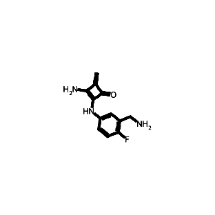 C=C1C(=O)C(Nc2ccc(F)c(CN)c2)=C1N